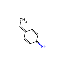 CC=C1C=CC(=N)C=C1